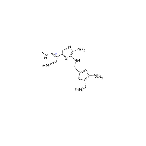 CN/C=C(\C=N)c1cnc(N)c(NCc2cc(N)c(C=N)s2)n1